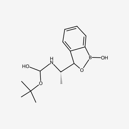 C[C@H](NC(O)OC(C)(C)C)C1OB(O)c2ccccc21